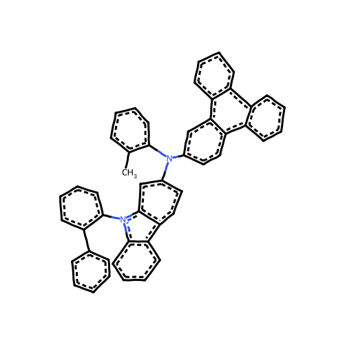 Cc1ccccc1N(c1ccc2c3ccccc3c3ccccc3c2c1)c1ccc2c3ccccc3n(-c3ccccc3-c3ccccc3)c2c1